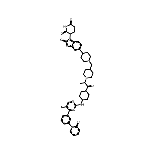 CC(C(=O)N1CCC(Nc2ncc(F)c(-c3cccc(-n4ccccc4=O)c3)n2)CC1)N1CCC(CN2CCC(c3ccc4c(c3)oc(=O)n4C3CCC(=O)NC3=O)CC2)CC1